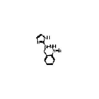 BrN1NN(c2ncc[nH]2)Cc2ccccc21